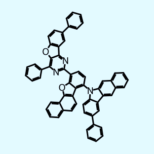 c1ccc(-c2ccc3oc4c(-c5ccccc5)nc(-c5ccc(-n6c7ccc(-c8ccccc8)cc7c7cc8ccccc8cc76)c6c5oc5c7ccccc7ccc56)nc4c3c2)cc1